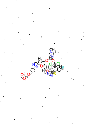 C=C/C=C1\C=C(/OCc2ccnc([C@H]3CC[C@H](COC[C@@H]4COCCO4)CC3)n2)C[C@H](C(=O)O)Oc2ncnc3sc(-c4ccc(F)cc4)c(c23)-c2c(C)c(Cl)c(c(Cl)c2C)O[C@H](CN2CCN(C)CC2)CO1